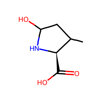 CC1CC(O)N[C@@H]1C(=O)O